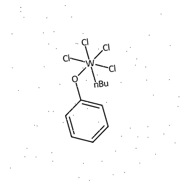 CCC[CH2][W]([Cl])([Cl])([Cl])([Cl])[O]c1ccccc1